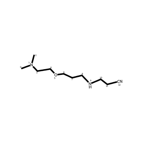 CN(C)CCOCCCNCCC#N